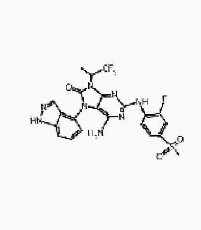 CC(n1c(=O)n(-c2cccc3[nH]ncc23)c2c(N)nc(Nc3ccc(S(C)(=O)=O)cc3F)nc21)C(F)(F)F